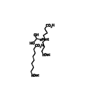 CCCCCC(O)O.CCCCCCCCCCCCCCCCCC(=O)O.CCCCCCCCCCCCCCCCCC(=O)O